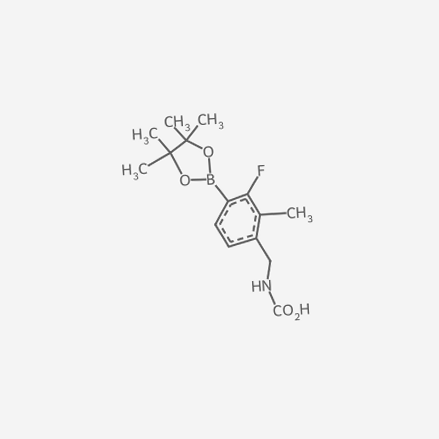 Cc1c(CNC(=O)O)ccc(B2OC(C)(C)C(C)(C)O2)c1F